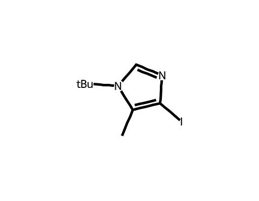 Cc1c(I)ncn1C(C)(C)C